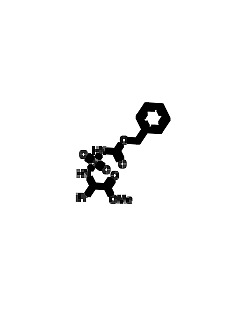 COC(=O)C(NS(=O)(=O)NC(=O)OCc1ccccc1)C(C)C